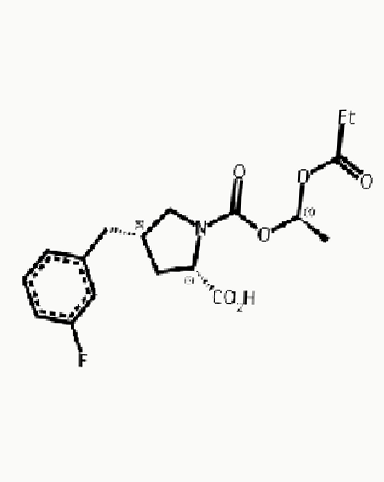 CCC(=O)O[C@@H](C)OC(=O)N1C[C@@H](Cc2cccc(F)c2)C[C@H]1C(=O)O